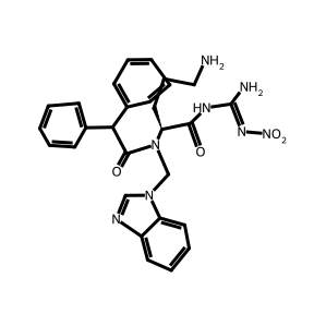 NCCC[C@@H](C(=O)NC(N)=N[N+](=O)[O-])N(Cn1cnc2ccccc21)C(=O)C(c1ccccc1)c1ccccc1